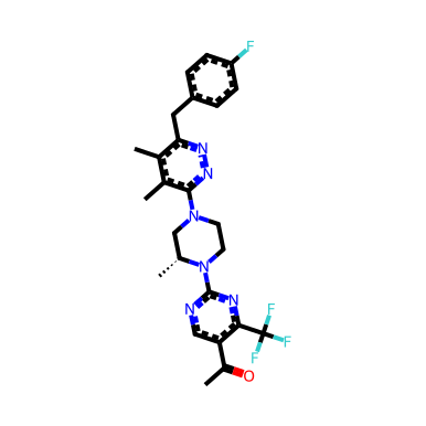 CC(=O)c1cnc(N2CCN(c3nnc(Cc4ccc(F)cc4)c(C)c3C)C[C@H]2C)nc1C(F)(F)F